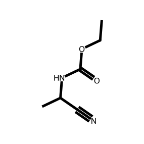 CCOC(=O)NC(C)C#N